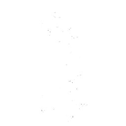 CO[C@@H]1[C@@H](OC)[C@H](C)O[C@@H](O/N=C/c2ccc(-c3cn(-c4cc(I)ccn4)cn3)cc2)[C@@H]1OC